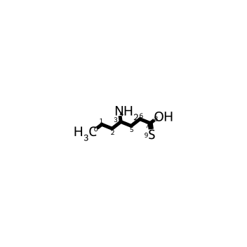 CCCC(N)CCC(O)=S